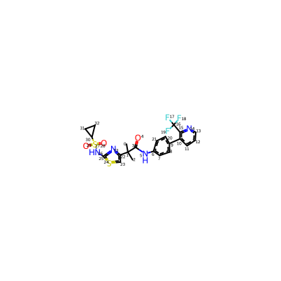 CC(C)(C(=O)Nc1ccc(-c2cccnc2C(F)(F)F)cc1)c1csc(NS(=O)(=O)C2CC2)n1